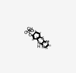 CS(=O)(=O)Oc1ccc2c(c1)Nc1nccnc1S2